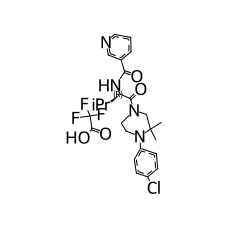 CC(C)[C@@H](NC(=O)c1cccnc1)C(=O)N1CCN(c2ccc(Cl)cc2)C(C)(C)C1.O=C(O)C(F)(F)F